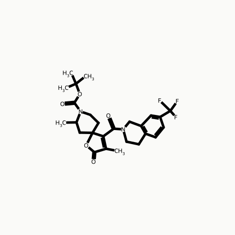 CC1=C(C(=O)N2CCc3ccc(C(F)(F)F)cc3C2)C2(CCN(C(=O)OC(C)(C)C)C(C)C2)OC1=O